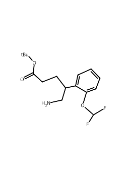 CC(C)(C)OC(=O)CCC(CN)c1ccccc1OC(F)F